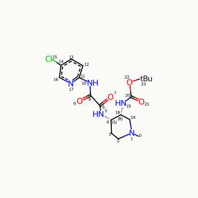 CN1CC[C@H](NC(=O)C(=O)Nc2ccc(Cl)cn2)[C@H](NC(=O)OC(C)(C)C)C1